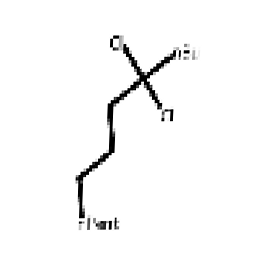 CCCCCCCCC(Cl)(Cl)CCCC